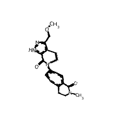 COCc1n[nH]c2c1CCN(c1ccc3c(c1)C(=O)N(C)CC3)C2=O